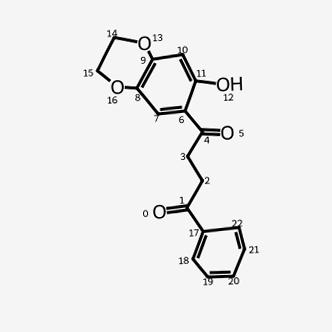 O=C(CCC(=O)c1cc2c(cc1O)OCCO2)c1ccccc1